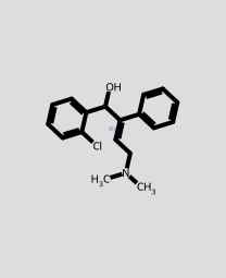 CN(C)C/C=C(\c1ccccc1)C(O)c1ccccc1Cl